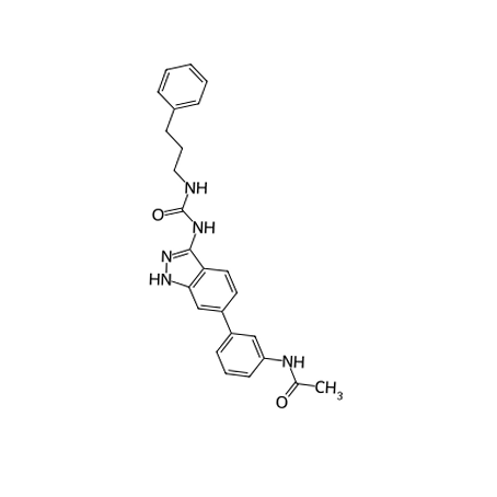 CC(=O)Nc1cccc(-c2ccc3c(NC(=O)NCCCc4ccccc4)n[nH]c3c2)c1